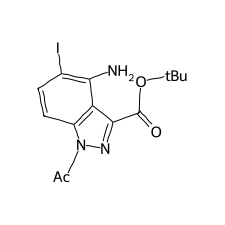 CC(=O)n1nc(C(=O)OC(C)(C)C)c2c(N)c(I)ccc21